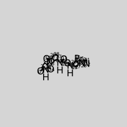 O=C1CCC(N2Cc3c(NC(=O)CONc4ccc(-n5ccnc5)c(Br)c4)cccc3C2=O)C(=O)N1